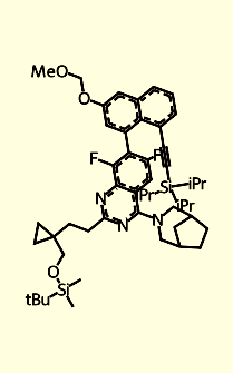 COCOc1cc(-c2c(F)cc3c(N4CC5CCC(C5)C4)nc(CCC4(CO[Si](C)(C)C(C)(C)C)CC4)nc3c2F)c2c(C#C[Si](C(C)C)(C(C)C)C(C)C)cccc2c1